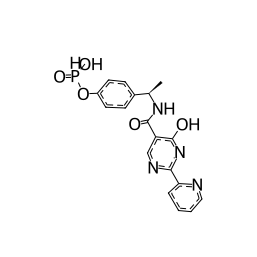 C[C@@H](NC(=O)c1cnc(-c2ccccn2)nc1O)c1ccc(O[PH](=O)O)cc1